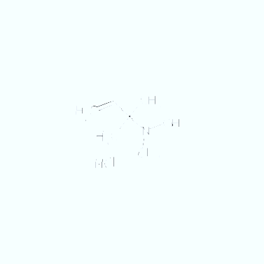 C=CC(C)(C)N(C)C.Cl